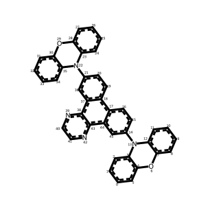 c1ccc2c(c1)Oc1ccccc1N2c1ccc2c3ccc(N4c5ccccc5Oc5ccccc54)cc3c3nccnc3c2c1